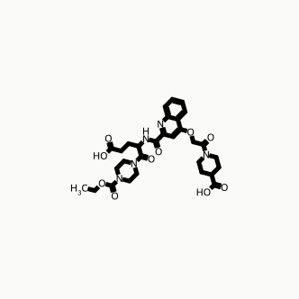 CCOC(=O)N1CCN(C(=O)C(CCC(=O)O)NC(=O)c2cc(OCC(=O)N3CCC(C(=O)O)CC3)c3ccccc3n2)CC1